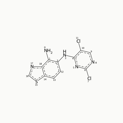 Nc1c(Nc2nc(Cl)ncc2Cl)ccc2scnc12